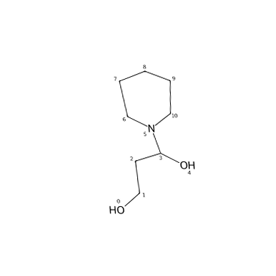 OCCC(O)N1CCCCC1